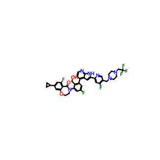 O=C1c2c(F)cc(C3CC3)cc2OCCN1c1cc(F)cc(-c2ccnc3[nH]c(-c4cc(F)c(CN5CCN(CC(F)(F)F)CC5)cn4)cc23)c1CO